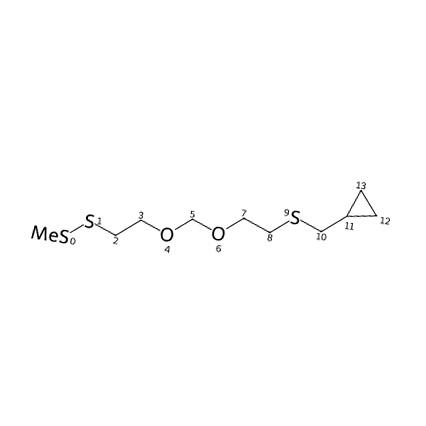 CSSCCOCOCCSCC1CC1